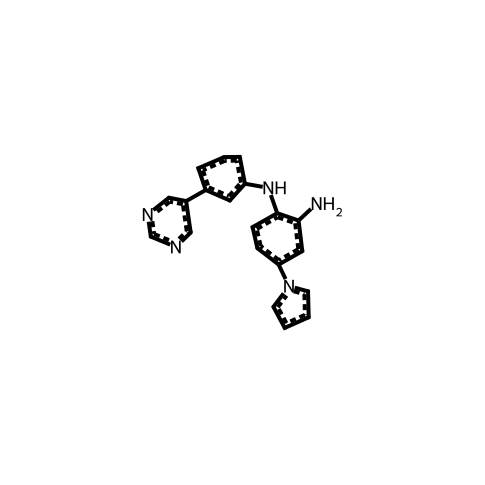 Nc1cc(-n2cccc2)ccc1Nc1cccc(-c2cncnc2)c1